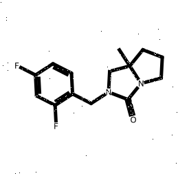 CC12CCCN1C(=O)N(Cc1ccc(F)cc1F)C2